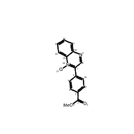 COC(=O)c1ccc(-c2cnc3ccccc3[n+]2[O-])cc1